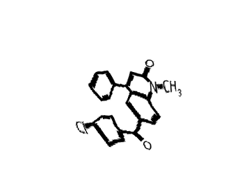 Cn1c(=O)cc(-c2ccccc2)c2cc(C(=O)c3ccc(Cl)cc3)ccc21